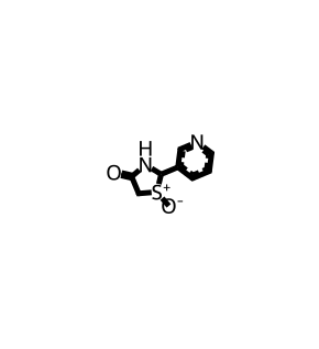 O=C1C[S+]([O-])C(c2cccnc2)N1